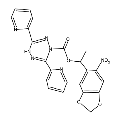 CC(OC(=O)N1N=C(c2ccccn2)NN=C1c1ccccn1)c1cc2c(cc1[N+](=O)[O-])OCO2